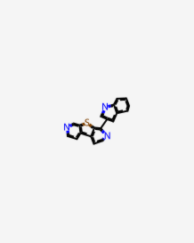 c1ccc2ncc(-c3nccc4c3sc3cnccc34)cc2c1